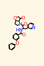 O=C(NC(Cc1cccnc1)C(=O)N1CCC2OCC(=O)C21)c1cccc(Oc2ccccc2)c1